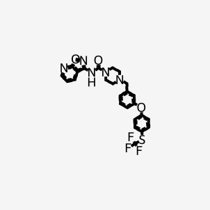 O=C(Nc1noc2ncccc12)N1CCN(Cc2cccc(Oc3ccc(SC(F)(F)F)cc3)c2)CC1